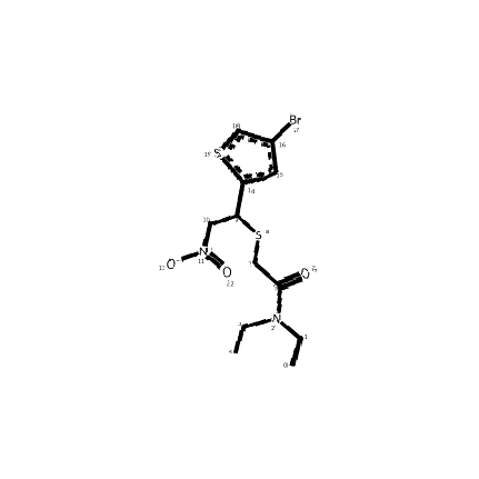 CCN(CC)C(=O)CSC(C[N+](=O)[O-])c1cc(Br)cs1